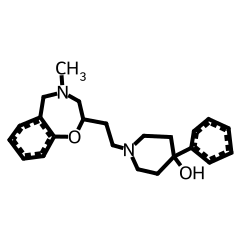 CN1Cc2ccccc2OC(CCN2CCC(O)(c3ccccc3)CC2)C1